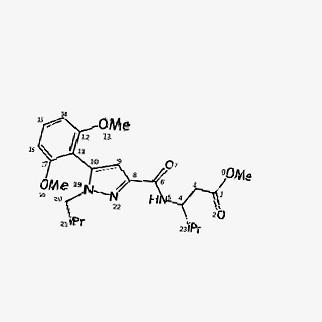 COC(=O)CC(NC(=O)c1cc(-c2c(OC)cccc2OC)n(CC(C)C)n1)C(C)C